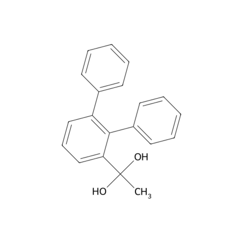 CC(O)(O)c1cccc(-c2ccccc2)c1-c1ccccc1